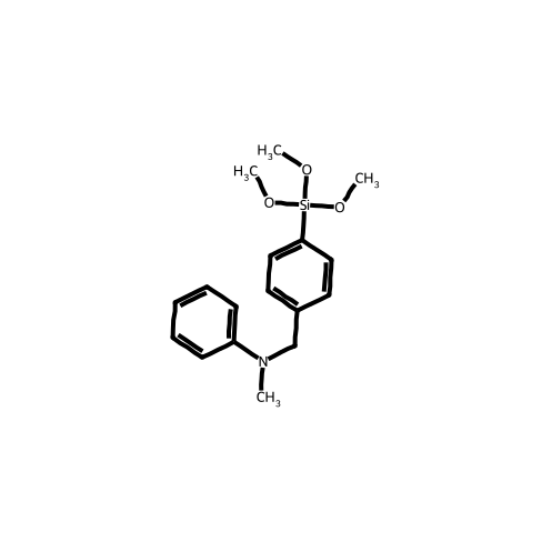 CO[Si](OC)(OC)c1ccc(CN(C)c2ccccc2)cc1